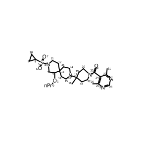 CCCOC1CN(S(=O)(=O)C2CC2)CCC12CCN(C1(C)CCN(C(=O)c3c(C)ncnc3C)CC1)CC2